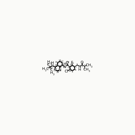 CC(C)C(=O)NCc1ccc(Cl)c(C(=O)Nc2cccc3c(NC(C)(C)C)ncnc23)c1F